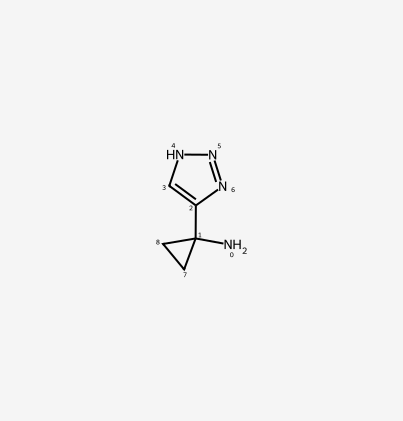 NC1(c2c[nH]nn2)CC1